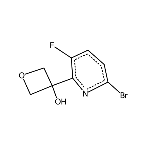 OC1(c2nc(Br)ccc2F)COC1